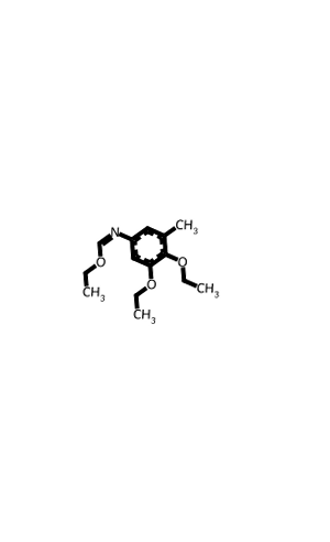 CCO/C=N\c1cc(C)c(OCC)c(OCC)c1